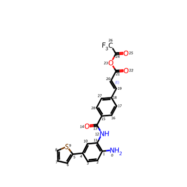 Nc1ccc(-c2cccs2)cc1NC(=O)c1ccc(/C=C/C(=O)OC(=O)C(F)(F)F)cc1